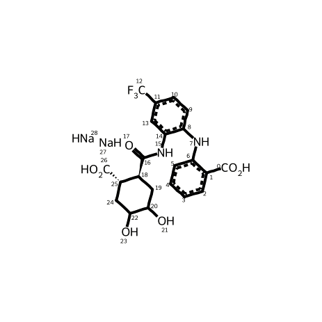 O=C(O)c1ccccc1Nc1ccc(C(F)(F)F)cc1NC(=O)[C@H]1CC(O)C(O)C[C@@H]1C(=O)O.[NaH].[NaH]